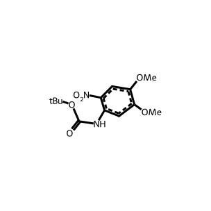 COc1cc(NC(=O)OC(C)(C)C)c([N+](=O)[O-])cc1OC